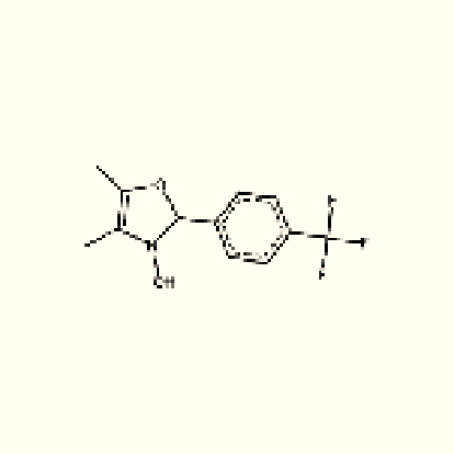 CC1=C(C)N(O)C(c2ccc(C(F)(F)F)cc2)O1